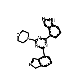 C1=NCc2cccc(-c3nc(-c4cccc5[nH]ncc45)nc(N4CCOCC4)n3)c21